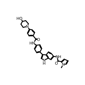 Cn1cccc1C(=O)Nc1ccc2c(-c3ccc(NC(=O)c4ccc(N5CCC(O)CC5)cc4)cc3)c[nH]c2c1